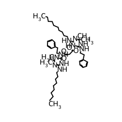 CCCCCCCCCCNC1=NC(C)(C)NC(NCCc2ccccc2)(OC(=O)CC(=O)OC2(NCCc3ccccc3)NC(NCCCCCCCCCC)=NC(C)(C)N2)N1